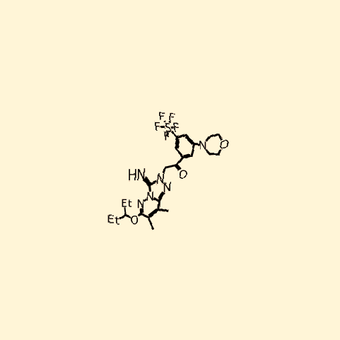 CCC(CC)Oc1nn2c(=N)n(CC(=O)c3cc(N4CCOCC4)cc(S(F)(F)(F)(F)F)c3)nc2c(C)c1C